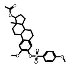 COc1ccc(S(=O)(=O)Oc2cc3c(cc2OC)C2CCC4(C)C(OC(C)=O)CCC4C2CC3)cc1